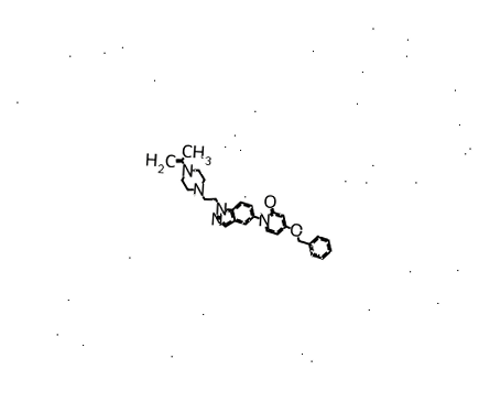 C=C(C)N1CCN(CCn2ncc3cc(-n4ccc(OCc5ccccc5)cc4=O)ccc32)CC1